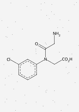 NCC(=O)N(CC(=O)O)c1cccc(Cl)c1